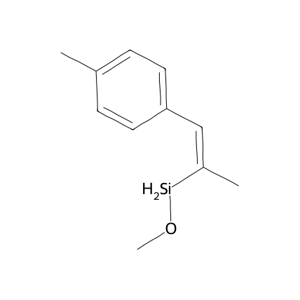 CO[SiH2]C(C)=Cc1ccc(C)cc1